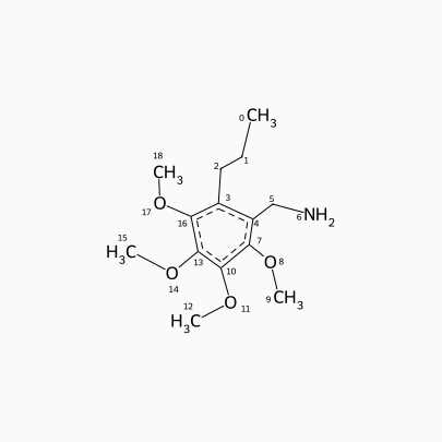 CCCc1c(CN)c(OC)c(OC)c(OC)c1OC